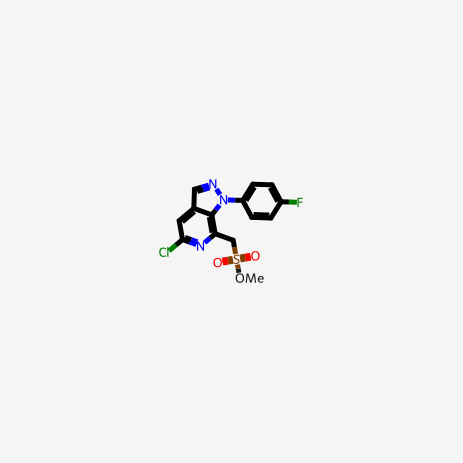 COS(=O)(=O)Cc1nc(Cl)cc2cnn(-c3ccc(F)cc3)c12